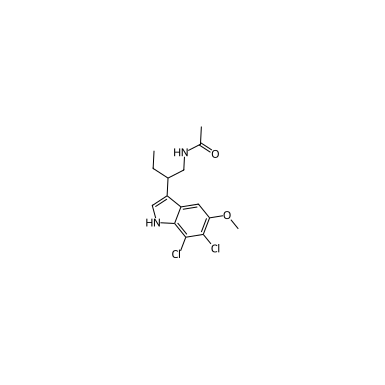 CCC(CNC(C)=O)c1c[nH]c2c(Cl)c(Cl)c(OC)cc12